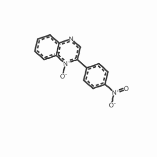 O=[N+]([O-])c1ccc(-c2cnc3ccccc3[n+]2[O-])cc1